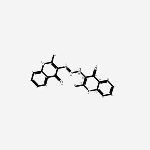 Cc1oc2ccccc2c(=O)c1N=NNc1c(C)oc2ccccc2c1=O